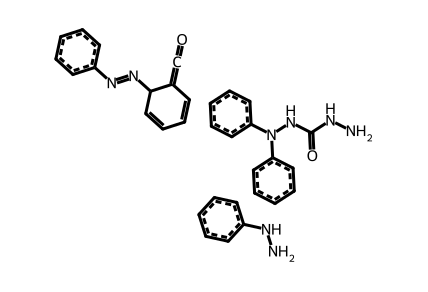 NNC(=O)NN(c1ccccc1)c1ccccc1.NNc1ccccc1.O=C=C1C=CC=CC1N=Nc1ccccc1